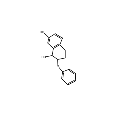 Oc1ccc2c(c1)C(O)C(Oc1ccccc1)CC2